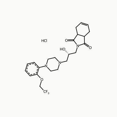 Cl.O=C1C2CC=CCC2C(=O)N1C[C@@H](O)CN1CCN(c2ccccc2OCC(F)(F)F)CC1